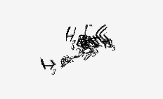 CN1CCC(C#Cc2cccc(B3OC(C)(C)C(C)(C)O3)c2)CC1